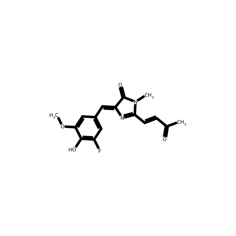 COc1cc(/C=C2N=C(/C=C/C(C)=O)N(C)C\2=O)cc(F)c1O